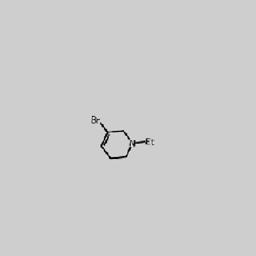 CCN1CCC=C(Br)C1